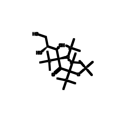 C[Si](C)(C)OC(C(=O)[C@@](O[Si](C)(C)C)([C@H](O)[C@H](O)CO)[Si](C)(C)C)([Si](C)(C)C)[Si](C)(C)C